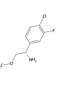 COC[C@@H](N)c1ccc(Cl)c(F)c1